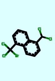 ClC(Cl)c1cccc2c(C(Cl)(Cl)Br)cccc12